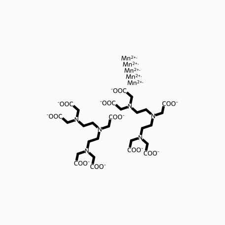 O=C([O-])CN(CCN(CC(=O)[O-])CC(=O)[O-])CCN(CC(=O)[O-])CC(=O)[O-].O=C([O-])CN(CCN(CC(=O)[O-])CC(=O)[O-])CCN(CC(=O)[O-])CC(=O)[O-].[Mn+2].[Mn+2].[Mn+2].[Mn+2].[Mn+2]